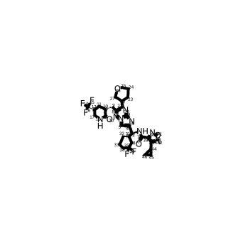 O=C(N[C@H](c1cn2nc(C[C@H]3C[C@@H](C(F)(F)F)CNC3=O)c(C3CCCOC3)nc2n1)[C@@H]1CCCC(F)(F)C1)c1nonc1C1CC1